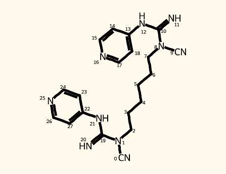 N#CN(CCCCCCN(C#N)C(=N)Nc1ccncc1)C(=N)Nc1ccncc1